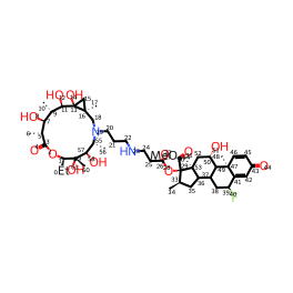 CC[C@H]1OC(=O)[C@H](C)[C@@H](O)[C@H](C)[C@@H](O)[C@]2(O)C[C@@]2(C)CN(CCCNCCC(=O)O[C@]2(C(=O)OC)[C@H](C)CC3C4C[C@H](F)C5=CC(=O)C=C[C@]5(C)C4[C@@H](O)C[C@@]32C)[C@H](C)[C@@H](O)[C@]1(C)O